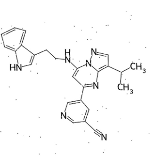 CC(C)c1cnn2c(NCCc3c[nH]c4ccccc34)cc(-c3cncc(C#N)c3)nc12